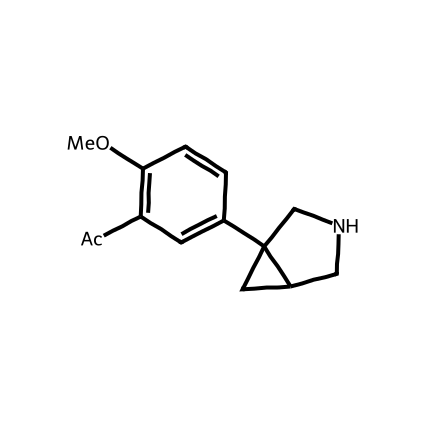 COc1ccc(C23CNCC2C3)cc1C(C)=O